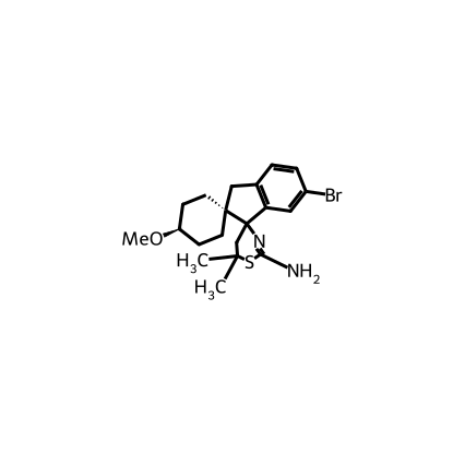 CO[C@H]1CC[C@]2(CC1)Cc1ccc(Br)cc1C21CC(C)(C)SC(N)=N1